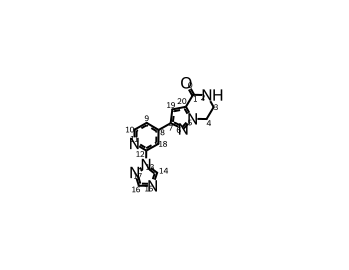 O=C1NCCn2nc(-c3ccnc(-n4cncn4)c3)cc21